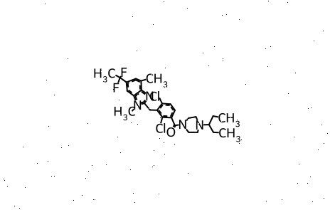 CCC(CC)N1CCN(C(=O)c2ccc(Cl)c(Cc3nc4c(C)cc(C(C)(F)F)cc4n3C)c2Cl)CC1